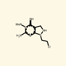 CNn1c(N)nc2c(c1=N)CNN2CCCl